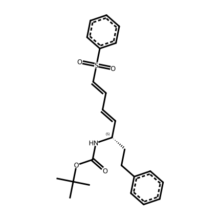 CC(C)(C)OC(=O)N[C@H](C=CC=CS(=O)(=O)c1ccccc1)CCc1ccccc1